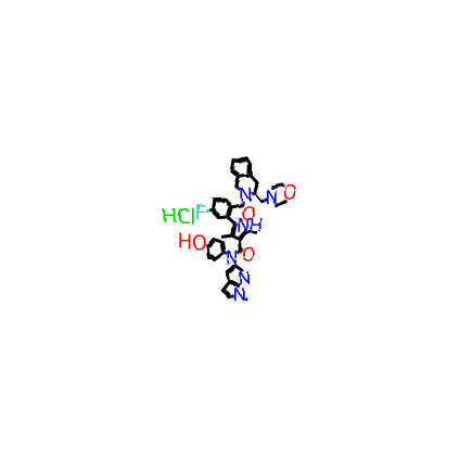 Cc1[nH]c(-c2cc(F)ccc2C(=O)N2Cc3ccccc3C[C@H]2CN2CCOCC2)c(C)c1C(=O)N(c1ccc(O)cc1)c1cnc2c(ccn2C)c1.Cl